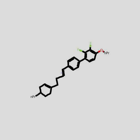 CCCOc1ccc(-c2ccc(/C=C/CCC3=CCC(CCC)CC3)cc2)c(F)c1F